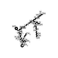 CCCCCOCN(C(=O)[C@@H](NC(=O)[C@H]1CCCCN1C)C(C)CC)[C@H](C[C@@H](OC)c1nc(C(=O)N[C@@H](Cc2ccc(O)cc2)C[C@H](C)C(=O)NNC(=O)OCCSSCCC(=O)NC(CCC(=O)NCC[C@@H](O)C[C@H](O)CO)C(=O)NC(CCC(=O)O)C(=O)NC(C=O)CCC(=O)NCC[C@@H](O)C[C@H](O)CO)cs1)C(C)C